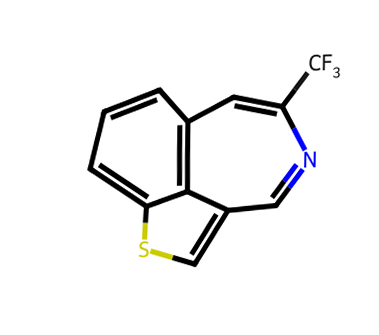 FC(F)(F)C1=Cc2cccc3scc(c23)C=N1